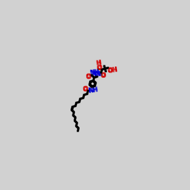 CCCCCCCC/C=C\CCCCCCCC(=O)Nc1ccc(C(CNC(=O)C(O)C(C)(C)CO)C(N)=O)cc1